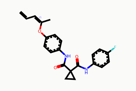 C=C/C=C(/C)Oc1ccc(NC(=O)C2(C(=O)Nc3ccc(F)cc3)CC2)cc1